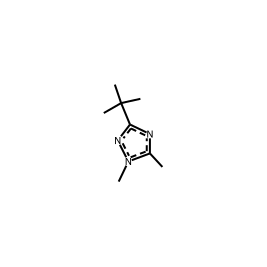 Cc1nc(C(C)(C)C)nn1C